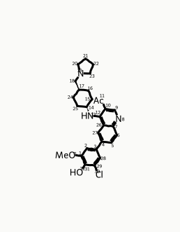 COc1cc(-c2ccc3ncc(C(C)=O)c(N[C@H]4CC[C@H](CN5CCCC5)CC4)c3c2)cc(Cl)c1O